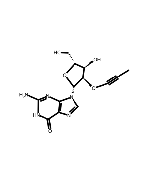 CC#CO[C@@H]1[C@H](O)[C@@H](CO)O[C@H]1n1cnc2c(=O)[nH]c(N)nc21